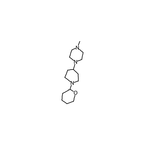 CN1CCN(C2CCN([C]3CCCCO3)CC2)CC1